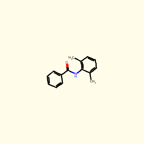 Cc1cccc(C)c1NC(=O)c1ccccc1